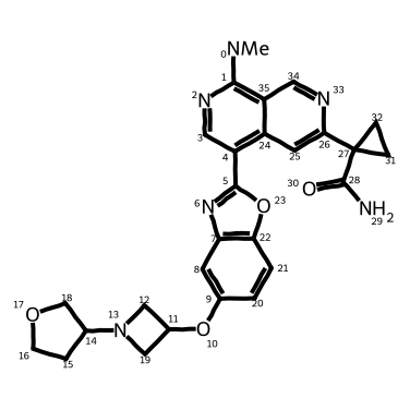 CNc1ncc(-c2nc3cc(OC4CN(C5CCOC5)C4)ccc3o2)c2cc(C3(C(N)=O)CC3)ncc12